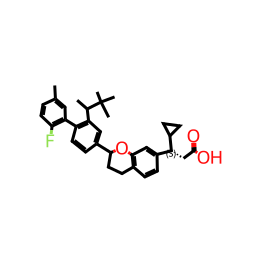 Cc1ccc(F)c(-c2ccc(C3CCc4ccc([C@@H](CC(=O)O)C5CC5)cc4O3)cc2C(C)C(C)(C)C)c1